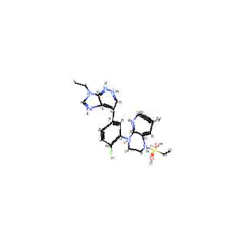 CCn1cnc2c(-c3ccc(F)c(N4CCN(S(=O)(=O)CC)c5cccnc54)c3)cnnc21